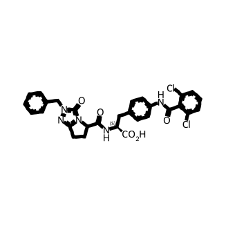 O=C(Nc1ccc(C[C@H](NC(=O)C2CCc3nn(Cc4ccccc4)c(=O)n32)C(=O)O)cc1)c1c(Cl)cccc1Cl